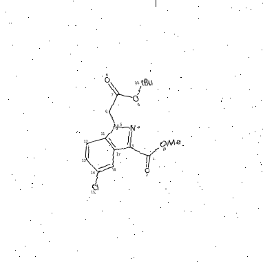 COC(=O)c1nn(CC(=O)OC(C)(C)C)c2ccc(Cl)cc12